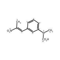 CC(=Cc1cccc(N(C)C(=O)O)c1)[N+](=O)[O-]